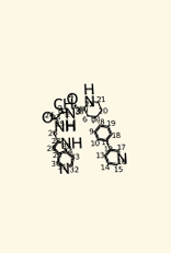 C[C@H](NC(=O)[C@H]1C[C@@H](c2ccc(-c3cccnc3)cc2)CCN1)C(=O)NCc1cc2cnccc2[nH]1